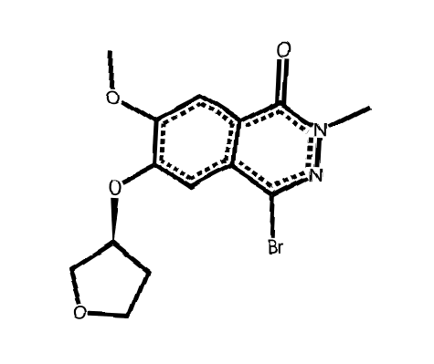 COc1cc2c(=O)n(C)nc(Br)c2cc1O[C@H]1CCOC1